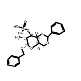 N[C@H]1[C@@H](OCc2ccccc2)O[C@@H]2COC(c3ccccc3)O[C@H]2[C@@H]1OP(=O)(O)O